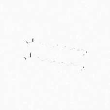 C=C(C)C(=O)OCCCCCCCCCCCC([SiH3])(Cl)Cl.C=C(C)C(=O)OCCCCCCCCCCC[Si](Cl)(Cl)Cl